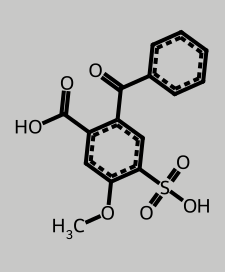 COc1cc(C(=O)O)c(C(=O)c2ccccc2)cc1S(=O)(=O)O